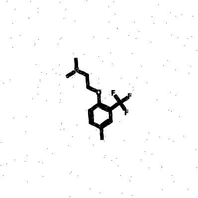 Cc1ccc(OCCN(C)C)c(C(F)(F)F)c1